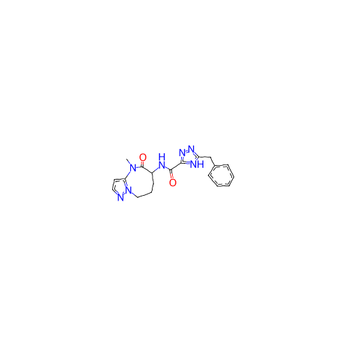 CN1C(=O)C(NC(=O)c2nnc(Cc3ccccc3)[nH]2)CCCn2nccc21